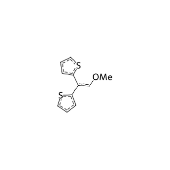 COC=C(c1cccs1)c1cccs1